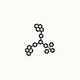 c1ccc([Si](c2ccccc2)(c2ccccc2)c2ccc(-c3cc(-c4ccc(-c5ccc6ccc7cccc8ccc5c6c78)cc4)cc(-c4ccc(-c5ccc6ccc7cccc8ccc5c6c78)cc4)c3)cc2)cc1